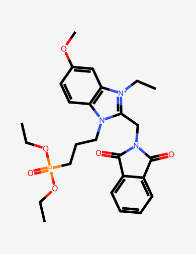 CCOP(=O)(CCCn1c(CN2C(=O)c3ccccc3C2=O)[n+](CC)c2cc(OC)ccc21)OCC